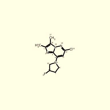 Cc1nc2c(N3CCC(F)C3)cc(Cl)nn2c1C